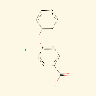 Cl.O=C(O)c1ccc(Oc2ccccc2)cc1